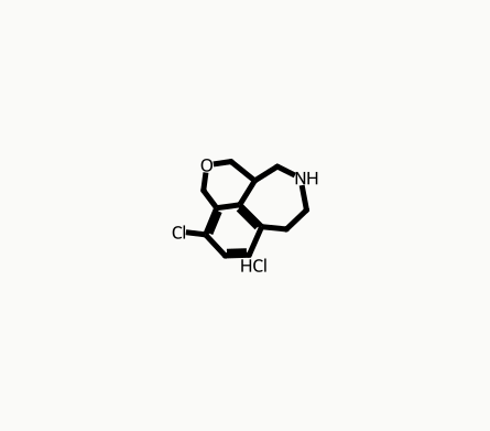 Cl.Clc1ccc2c3c1COCC3CNCC2